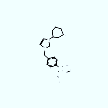 CCO[Si](OCC)(OCC)c1ccc(CN2C=CN(C3CCCCC3)C2)cc1.Cl